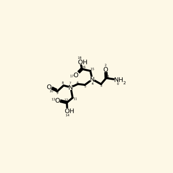 NC(=O)CN(CCN(CC=O)CC(=O)O)CC(=O)O